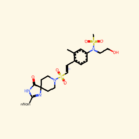 CCCCCCCCCC1=NC2(CCN(S(=O)(=O)/C=C/c3ccc(N(CCO)S(C)(=O)=O)cc3C)CC2)C(=O)N1